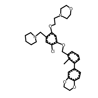 Cc1c(COc2cc(OCCN3CCOCC3)c(CN3CCCCC3)cc2Cl)cccc1-c1ccc2c(c1)OCCO2